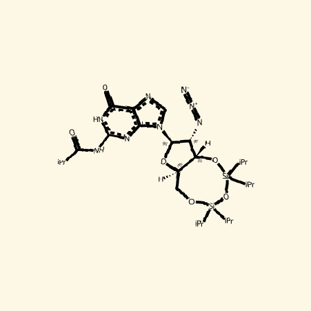 CC(C)C(=O)Nc1nc2c(ncn2[C@@H]2O[C@@H]3CO[Si](C(C)C)(C(C)C)O[Si](C(C)C)(C(C)C)O[C@H]3[C@H]2N=[N+]=[N-])c(=O)[nH]1